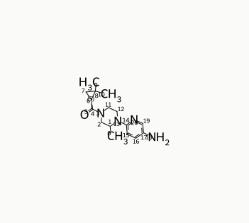 CC1CN(C(=O)[C@H]2CC2(C)C)CCN1c1ccc(N)cn1